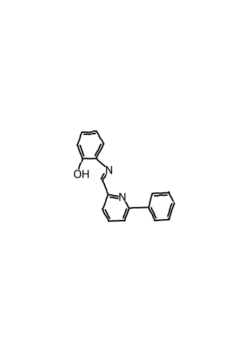 Oc1ccccc1/N=C/c1cccc(-c2ccccc2)n1